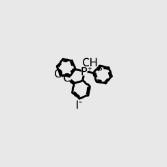 C[P+](c1ccccc1)(c1ccccc1)C1C=CC=CC1=C=O.[I-]